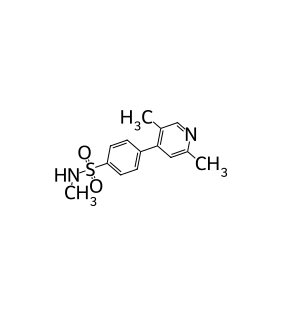 CNS(=O)(=O)c1ccc(-c2cc(C)ncc2C)cc1